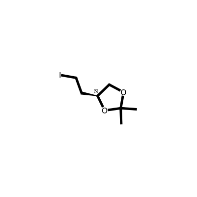 CC1(C)OC[C@H](CCI)O1